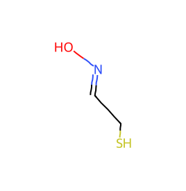 ON=CCS